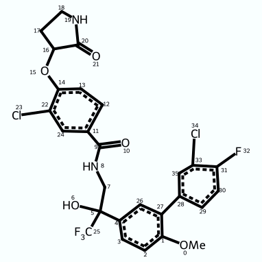 COc1ccc(C(O)(CNC(=O)c2ccc(OC3CCNC3=O)c(Cl)c2)C(F)(F)F)cc1-c1ccc(F)c(Cl)c1